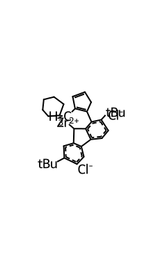 CC1=C(c2c(C(C)(C)C)ccc3c2[CH]([Zr+2]=[C]2CCCCC2)c2cc(C(C)(C)C)ccc2-3)CC=C1.[Cl-].[Cl-]